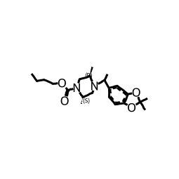 CCCCOC(=O)N1C[C@@H](C)N(C(C)c2ccc3c(c2)OC(C)(C)O3)C[C@@H]1C